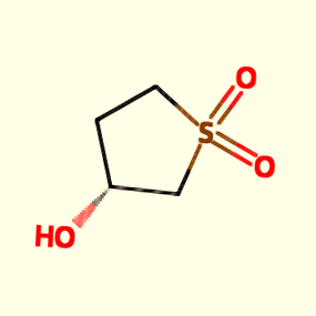 O=S1(=O)CC[C@@H](O)C1